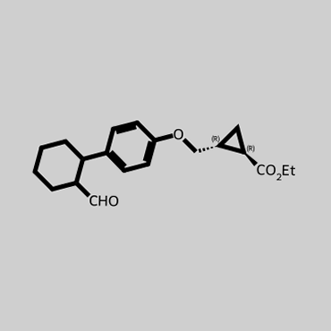 CCOC(=O)[C@@H]1C[C@H]1COc1ccc(C2CCCCC2C=O)cc1